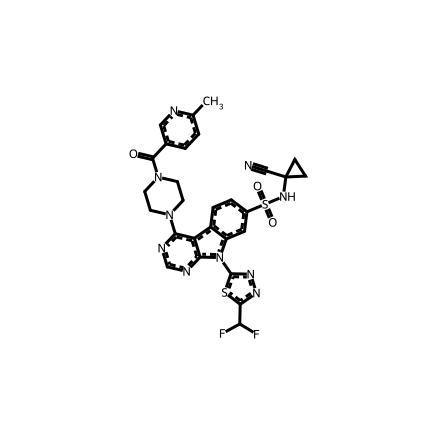 Cc1ccc(C(=O)N2CCN(c3ncnc4c3c3ccc(S(=O)(=O)NC5(C#N)CC5)cc3n4-c3nnc(C(F)F)s3)CC2)cn1